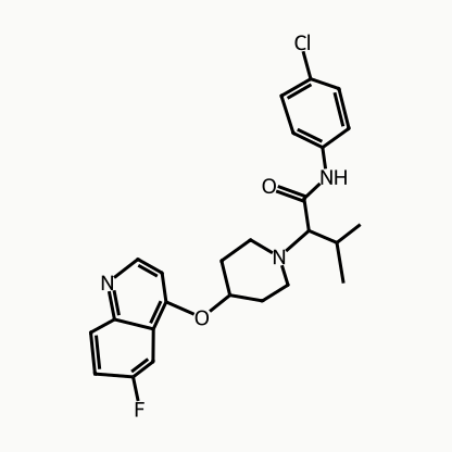 CC(C)C(C(=O)Nc1ccc(Cl)cc1)N1CCC(Oc2ccnc3ccc(F)cc23)CC1